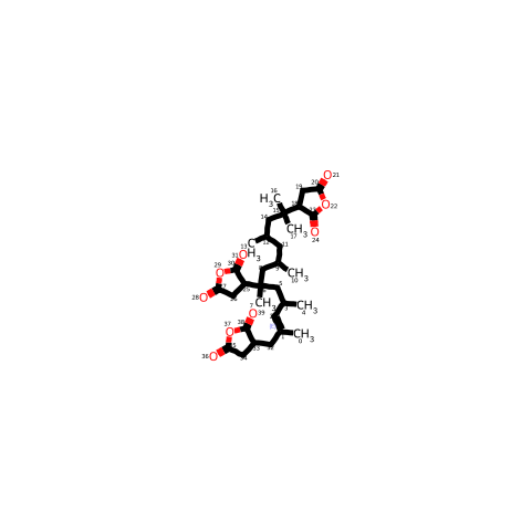 C/C(=C\C(C)CC(C)(CC(C)CC(C)CC(C)(C)C1CC(=O)OC1=O)C1CC(=O)OC1=O)CC1CC(=O)OC1=O